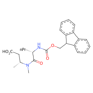 CCC[C@H](NC(=O)OCC1c2ccccc2-c2ccccc21)C(=O)N(C)[C@H](C)CC(=O)O